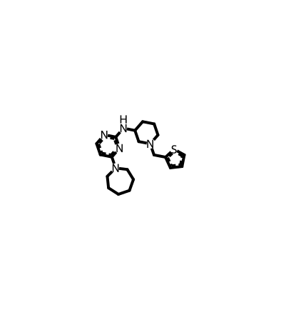 c1csc(CN2CCCC(Nc3nccc(N4CCCCCC4)n3)C2)c1